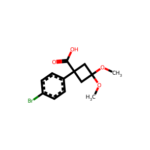 COC1(OC)CC(C(=O)O)(c2ccc(Br)cc2)C1